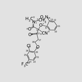 CN(C)C(=O)C(C#N)(Oc1ccccc1[N+](=O)[O-])C(=O)CCOc1ccc(C(F)(F)F)cc1Cl